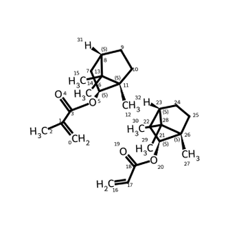 C=C(C)C(=O)O[C@H]1C[C@@H]2CC[C@@]1(C)C2(C)C.C=CC(=O)O[C@H]1C[C@@H]2CC[C@@]1(C)C2(C)C